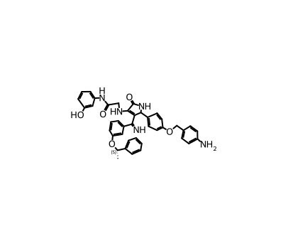 C[C@H](Oc1cccc(C(=N)C2=C(NCC(=O)Nc3cccc(O)c3)C(=O)NC2c2ccc(OCc3ccc(N)cc3)cc2)c1)c1ccccc1